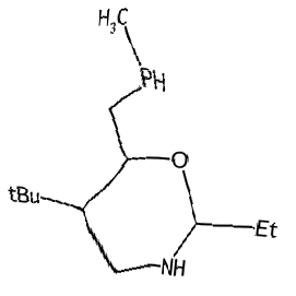 CCC1NCC(C(C)(C)C)C(CPC)O1